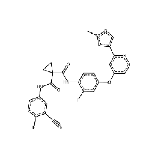 Cn1cc(-c2cc(Oc3ccc(NC(=O)C4(C(=O)Nc5ccc(F)c(C#N)c5)CC4)c(F)c3)ccn2)cn1